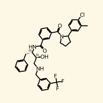 Cc1cc(C2CCCN2C(=O)c2cccc(C(=O)N[C@@H](Cc3ccccc3)[C@@H](O)CNCc3cccc(C(F)(F)F)c3)c2)ccc1Cl